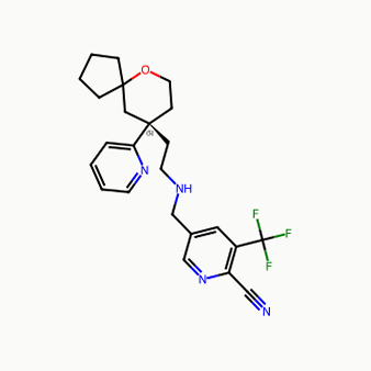 N#Cc1ncc(CNCC[C@]2(c3ccccn3)CCOC3(CCCC3)C2)cc1C(F)(F)F